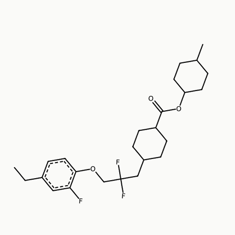 CCc1ccc(OCC(F)(F)CC2CCC(C(=O)OC3CCC(C)CC3)CC2)c(F)c1